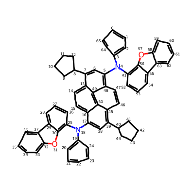 c1ccc(N(c2cc(C3CCCC3)c3ccc4c(N(c5ccccc5)c5cccc6c5oc5ccccc56)cc(C5CCCC5)c5ccc2c3c54)c2cccc3c2oc2ccccc23)cc1